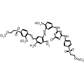 Nc1cc(N)c(/N=N/c2ccc(S(=O)(=O)CCOS(=O)(=O)O)cc2S(=O)(=O)O)cc1/N=N/c1cc(Nc2nc(Cl)nc(Nc3ccc(S(=O)(=O)CCOS(=O)(=O)O)cc3)n2)ccc1S(=O)(=O)O